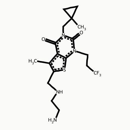 Cc1c(CNCCN)sc2c1c(=O)n(CC1(C)CC1)c(=O)n2CCC(F)(F)F